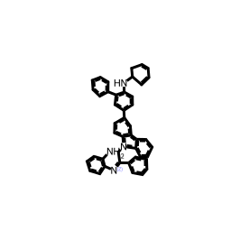 Nc1ccccc1/N=C(\Cn1c2ccccc2c2cc(-c3ccc(NC4C=CC=CC4)c(-c4ccccc4)c3)ccc21)c1ccccc1